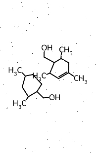 CC1=CC(C)C(CO)C(C)C1.CC1CCC(CO)C(C)C1